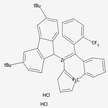 CC(C)(C)c1ccc2c(c1)-c1cc(C(C)(C)C)ccc1[CH]2[Zr]([C]1=CC=CC1)=[C](c1ccccc1C(F)(F)F)c1ccccc1C(F)(F)F.Cl.Cl